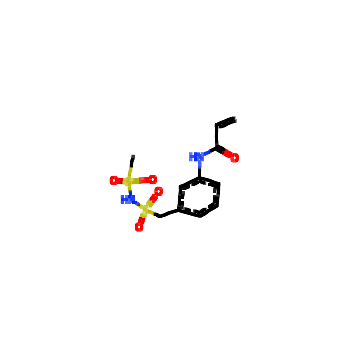 C=CC(=O)Nc1cccc(CS(=O)(=O)NS(C)(=O)=O)c1